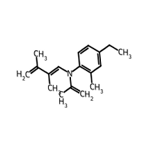 C=C(C)/C(C)=C/N(C(=C)C)c1ccc(CC)cc1C